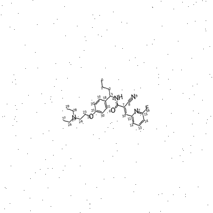 CCCC(NC(=O)/C(C#N)=C/c1cccc(F)n1)c1ccc(OCCN(CC)CC)cc1